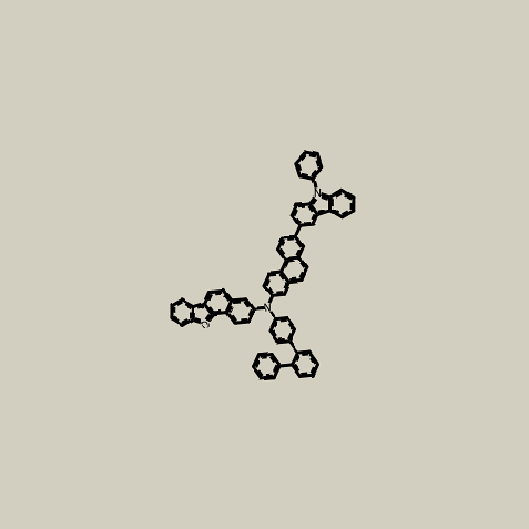 c1ccc(-c2ccccc2-c2ccc(N(c3ccc4c(ccc5cc(-c6ccc7c(c6)c6ccccc6n7-c6ccccc6)ccc54)c3)c3ccc4c(ccc5c6ccccc6oc45)c3)cc2)cc1